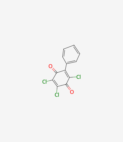 O=C1C(Cl)=C(Cl)C(=O)C(c2ccccc2)=C1Cl